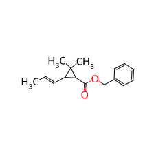 CC=CC1C(C(=O)OCc2ccccc2)C1(C)C